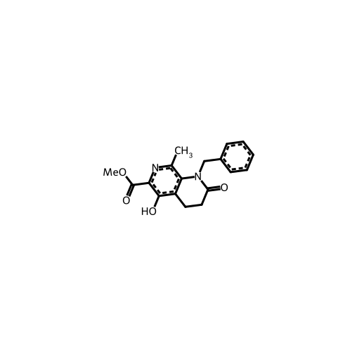 COC(=O)c1nc(C)c2c(c1O)CCC(=O)N2Cc1ccccc1